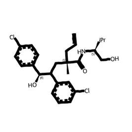 C=CC[C@@](C)(CC(c1cccc(Cl)c1)[C@@H](O)c1ccc(Cl)cc1)C(=O)N[C@H](CO)C(C)C